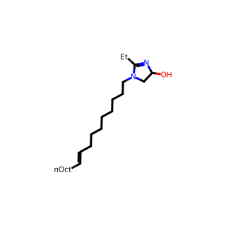 CCCCCCCCC=CCCCCCCCCN1CC(O)N=C1CC